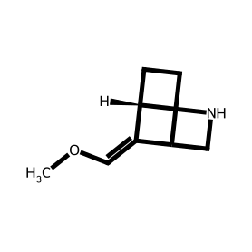 CO/C=C1/C2CNC23CC[C@@H]13